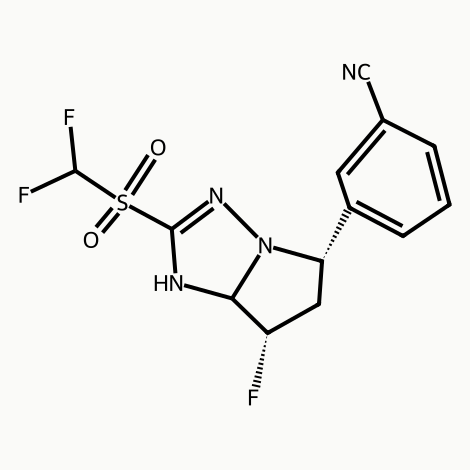 N#Cc1cccc([C@@H]2C[C@H](F)C3NC(S(=O)(=O)C(F)F)=NN32)c1